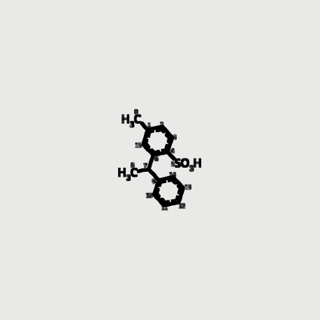 Cc1ccc(S(=O)(=O)O)c(C(C)c2ccccc2)c1